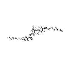 C=CC(=O)OCCCCOc1ccc(C(=O)Oc2ccc(NC(=O)c3ccc(OCCCCOC(C)=O)cc3)c(C)c2)cc1